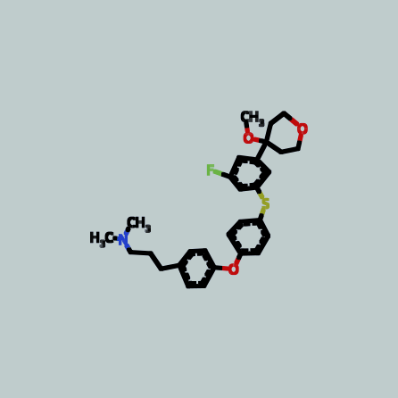 COC1(c2cc(F)cc(Sc3ccc(Oc4ccc(CCCN(C)C)cc4)cc3)c2)CCOCC1